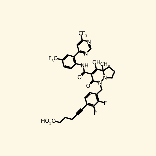 CC12CCCN1N(Cc1ccc(C#CCCCC(=O)O)c(F)c1F)C(=O)C(C(=O)Nc1ccc(C(F)(F)F)cc1-c1cc(C(F)(F)F)ncn1)=C2O